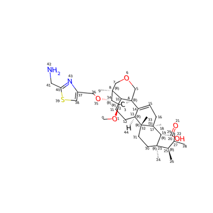 CO[C@@H]1C[C@@]23COC[C@@](C)(C2CC[C@H]2C3=CC[C@@]3(C)[C@H](C(=O)O)[C@@](C)([C@H](C)C(C)C)CC[C@]23C)[C@H]1OCc1csc(CN)n1